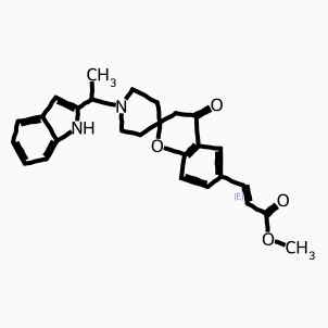 COC(=O)/C=C/c1ccc2c(c1)C(=O)CC1(CCN(C(C)c3cc4ccccc4[nH]3)CC1)O2